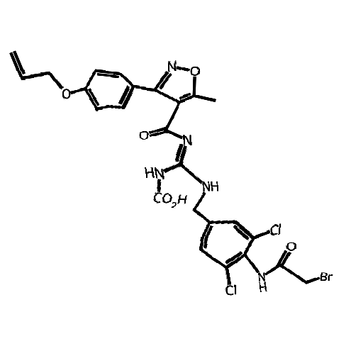 C=CCOc1ccc(-c2noc(C)c2C(=O)/N=C(/NCc2cc(Cl)c(NC(=O)CBr)c(Cl)c2)NC(=O)O)cc1